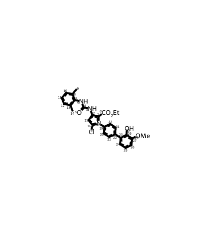 CCOC(=O)c1c(NC(=O)Nc2c(C)cccc2C)cc(Cl)n1-c1ccc(-c2cccc(OC)c2O)cc1